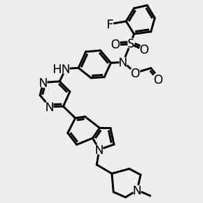 CN1CCC(Cn2ccc3cc(-c4cc(Nc5ccc(N(OC=O)S(=O)(=O)c6ccccc6F)cc5)ncn4)ccc32)CC1